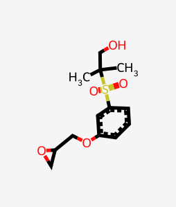 CC(C)(CO)S(=O)(=O)c1cccc(OCC2CO2)c1